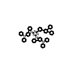 c1ccc(-c2ccc(-c3cccc(-c4nc(-n5c6ccccc6c6cc(N(c7ccccc7)c7ccccc7)ccc65)nc(-n5c6ccccc6c6cc(N(c7ccccc7)c7ccccc7)ccc65)n4)c3)cc2-c2ccccc2)cc1